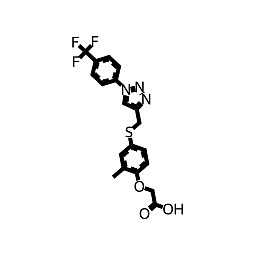 Cc1cc(SCc2cn(-c3ccc(C(F)(F)F)cc3)nn2)ccc1OCC(=O)O